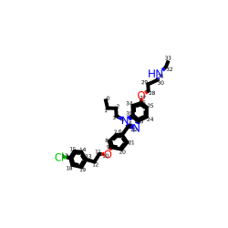 CCCCn1c(-c2ccc(OCCc3ccc(Cl)cc3)cc2)nc2ccc(OCCCNCC)cc21